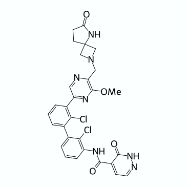 COc1nc(-c2cccc(-c3cccc(NC(=O)c4ccn[nH]c4=O)c3Cl)c2Cl)cnc1CN1CC2(CCC(=O)N2)C1